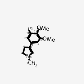 COc1cc(C2=CN(C)CC2)cc(I)c1OC